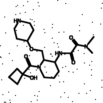 CN(C)C(=O)C(=O)NC1CCCN(C(=O)C2(O)CCC2)C1COC1CCNCC1